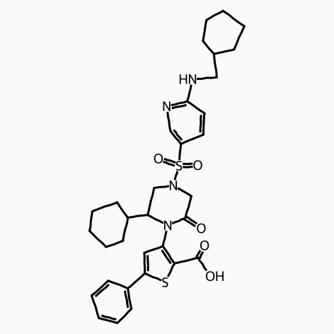 O=C(O)c1sc(-c2ccccc2)cc1N1C(=O)CN(S(=O)(=O)c2ccc(NCC3CCCCC3)nc2)CC1C1CCCCC1